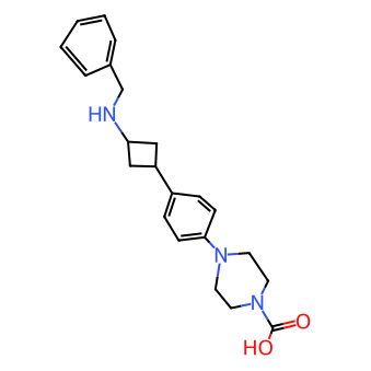 O=C(O)N1CCN(c2ccc(C3CC(NCc4ccccc4)C3)cc2)CC1